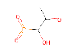 CC(=O)C(O)P(=O)=O